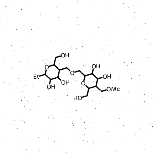 CCC1OC(CO)C(COCC2OC(CO)C(COC)C(O)C2O)C(O)C1O